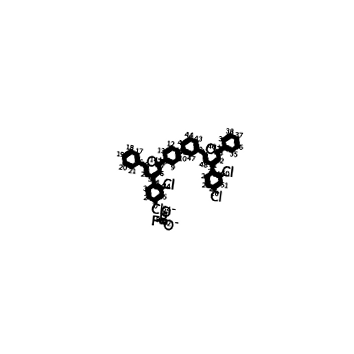 Clc1ccc(-c2cc(-c3ccccc3)[o+]c(-c3ccccc3)c2)c(Cl)c1.Clc1ccc(-c2cc(-c3ccccc3)[o+]c(-c3ccccc3)c2)c(Cl)c1.[O-]B([O-])F